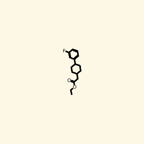 CCOC(=O)CC1CCC(c2cccc(F)c2)CC1